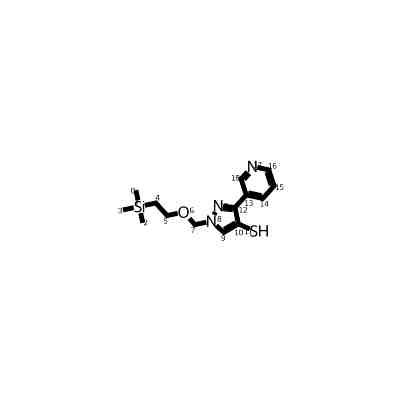 C[Si](C)(C)CCOCn1cc(S)c(-c2cccnc2)n1